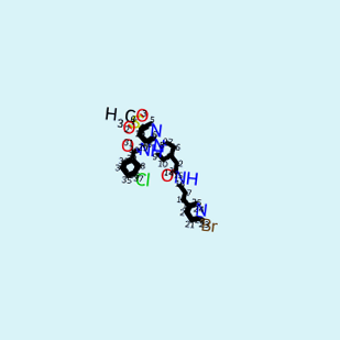 CS(=O)(=O)c1cnc(N2CCC(CC(=O)NCCCc3ccc(Br)nc3)CC2)c(NC(=O)c2cccc(Cl)c2)c1